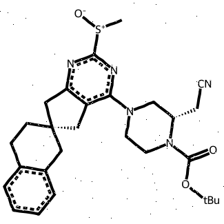 C[S+]([O-])c1nc2c(c(N3CCN(C(=O)OC(C)(C)C)[C@@H](CC#N)C3)n1)C[C@]1(CCc3ccccc3C1)C2